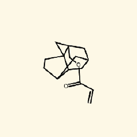 C=CC(=O)OCC12CC3CC4CCC1(C2)C4C3